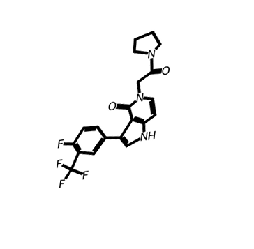 O=C(Cn1ccc2[nH]cc(-c3ccc(F)c(C(F)(F)F)c3)c2c1=O)N1CCCC1